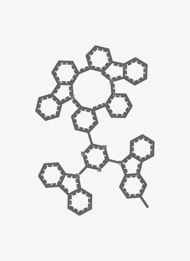 Cc1ccc2c(c1)c1ccccc1n2-c1nc(-c2ccc3c(c2)c2ccccc2n2c4ccccc4c4cccc(c5cccc6c7ccccc7n3c65)c42)nc(-n2c3ccccc3c3ccccc32)n1